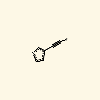 FC#Cc1[c]scc1